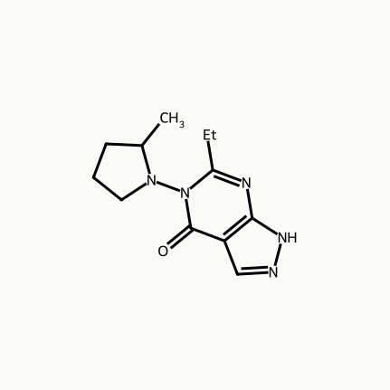 CCc1nc2[nH]ncc2c(=O)n1N1CCCC1C